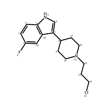 Fc1ccc2[nH]cc(C3CCN(CCCCl)CC3)c2c1